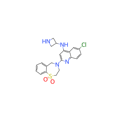 O=S1(=O)CCN(c2cc(NC3CNC3)c3cc(Cl)ccc3n2)Cc2ccccc21